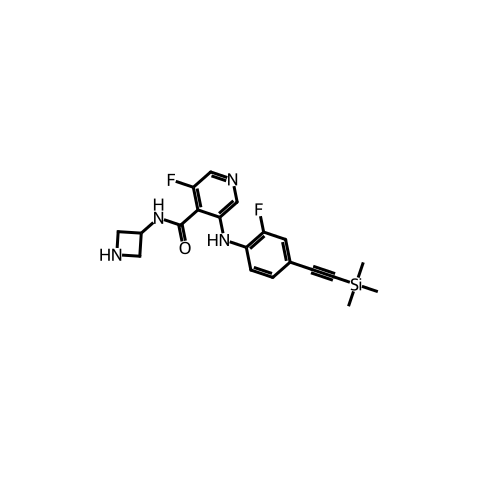 C[Si](C)(C)C#Cc1ccc(Nc2cncc(F)c2C(=O)NC2CNC2)c(F)c1